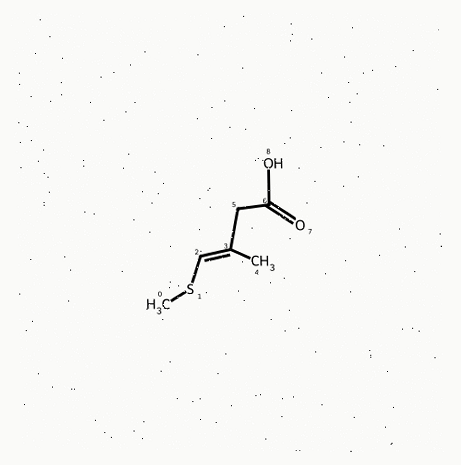 CS/C=C(\C)CC(=O)O